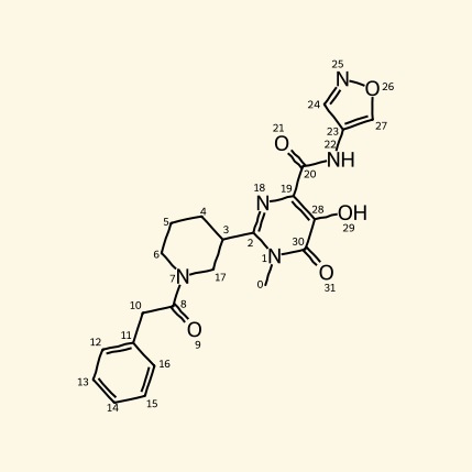 Cn1c(C2CCCN(C(=O)Cc3ccccc3)C2)nc(C(=O)Nc2cnoc2)c(O)c1=O